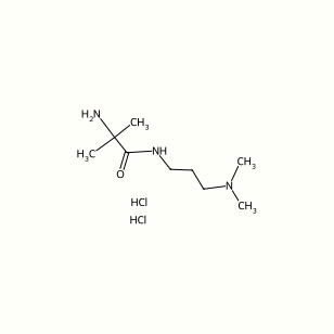 CN(C)CCCNC(=O)C(C)(C)N.Cl.Cl